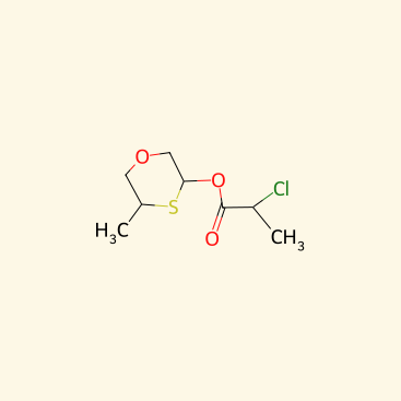 CC1COCC(OC(=O)C(C)Cl)S1